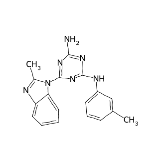 Cc1cccc(Nc2nc(N)nc(-n3c(C)nc4ccccc43)n2)c1